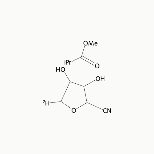 COC(=O)C(C)C.[2H]C1OC(C#N)C(O)C1O